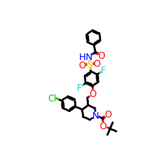 CC(C)(C)OC(=O)N1CCC(c2ccc(Cl)cc2)C(COc2cc(F)c(S(=O)(=O)NC(=O)c3ccccc3)cc2F)C1